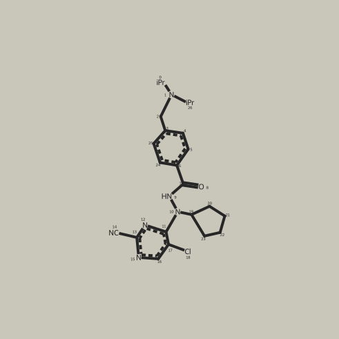 CC(C)N(Cc1ccc(C(=O)NN(c2nc(C#N)ncc2Cl)C2CCCC2)cc1)C(C)C